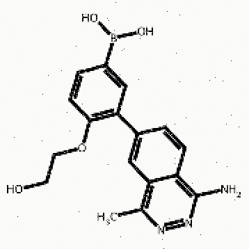 Cc1nnc(N)c2ccc(-c3cc(B(O)O)ccc3OCCO)cc12